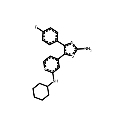 Nc1nc(-c2ccc(F)cc2)c(-c2ccnc(NC3CCCCC3)c2)s1